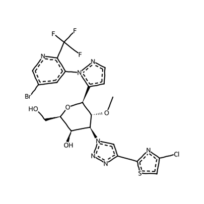 CO[C@@H]1[C@@H](n2cc(-c3nc(Cl)cs3)nn2)[C@@H](O)[C@@H](CO)O[C@H]1c1ccnn1-c1cc(Br)cnc1C(F)(F)F